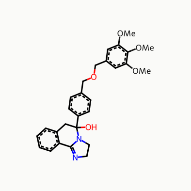 COc1cc(COCc2ccc(C3(O)Cc4ccccc4C4=NCCN43)cc2)cc(OC)c1OC